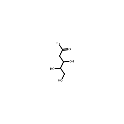 [2H]C(=O)CC(O)C(O)CO